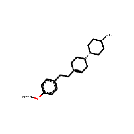 CCCCCOc1ccc(CCC2=CCC([C@H]3CC[C@H](CCCC)CC3)CC2)cc1